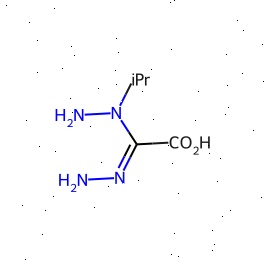 CC(C)N(N)/C(=N\N)C(=O)O